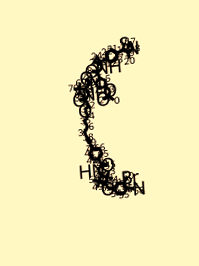 CC(=O)OC1CC(C(=O)NC2(c3ccc(-c4scnc4C)cc3)CC2)N(C(=O)C(NC(=O)COCCCCC#Cc2ccc(C(=O)NC3C(C)(C)C(Oc4ccc(C#N)c(Br)c4)C3(C)C)cc2)C(C)(C)C)C1